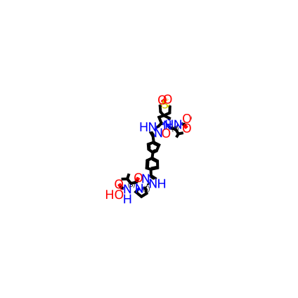 COC(=O)N[C@H](C(=O)N1CC2(CCS(=O)(=O)CC2)CC1c1nc(-c2ccc(-c3ccc(-c4c[nH]c([C@@H]5CCCN5C(=O)[C@@H](NC(=O)O)C(C)C)n4)cc3)cc2)c[nH]1)C(C)C